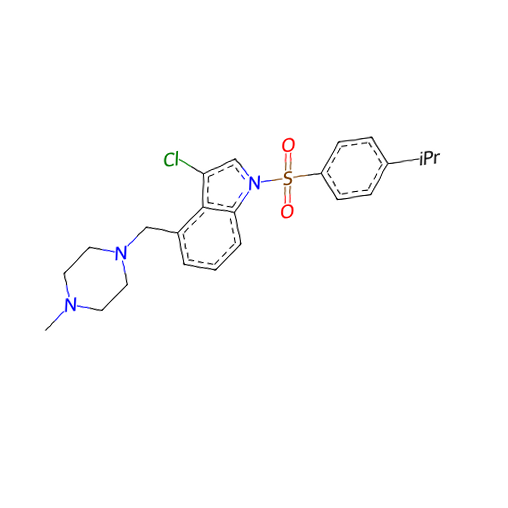 CC(C)c1ccc(S(=O)(=O)n2cc(Cl)c3c(CN4CCN(C)CC4)cccc32)cc1